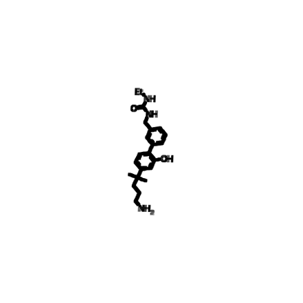 CCNC(=O)NCc1cccc(-c2ccc(C(C)(C)CCCN)cc2O)c1